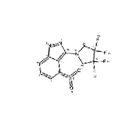 O=S(=O)=C1C=CC=C2N=NC(N3CC(F)(F)C(F)(F)C3)=C21